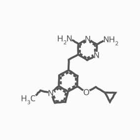 CCn1ccc2c(OCC3CC3)cc(Cc3cnc(N)nc3N)cc21